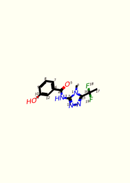 Cn1c(NC(=O)c2cccc(O)c2)nnc1C(C)(F)F